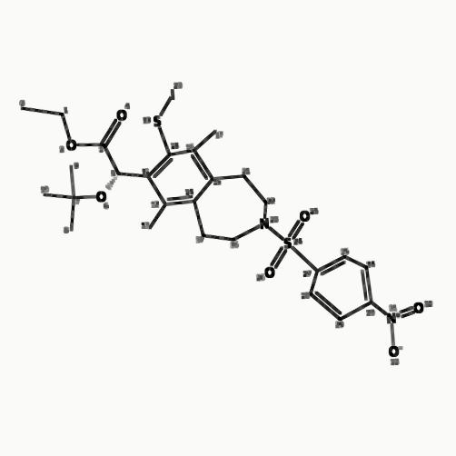 CCOC(=O)[C@@H](OC(C)(C)C)c1c(C)c2c(c(C)c1SI)CCN(S(=O)(=O)c1ccc([N+](=O)[O-])cc1)CC2